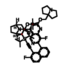 CC(C)[Si](C#Cc1c(F)ccc2cccc(-c3ncc4c(N5C[C@H]6CC[C@@H](C5)N6C(=O)OC(C)(C)C)nc(OCC56CCCN5CCC6)nc4c3F)c12)(C(C)C)C(C)C